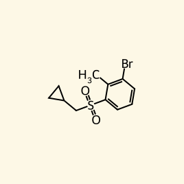 Cc1c(Br)cccc1S(=O)(=O)CC1CC1